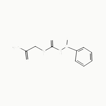 CCN(NC(=O)NCC(=O)NC)c1c[c]ccc1